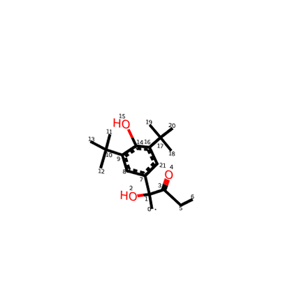 [CH2]C(O)(C(=O)CC)c1cc(C(C)(C)C)c(O)c(C(C)(C)C)c1